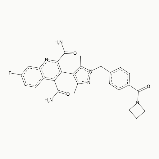 Cc1nn(Cc2ccc(C(=O)N3CCC3)cc2)c(C)c1-c1c(C(N)=O)nc2cc(F)ccc2c1C(N)=O